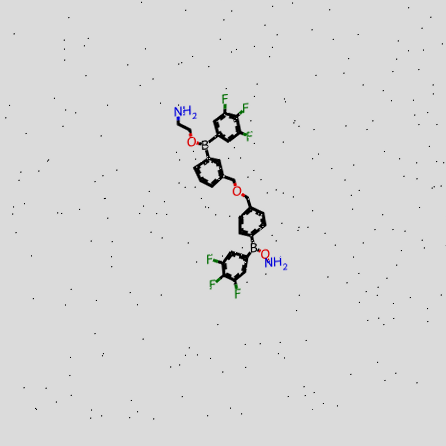 NCCOB(c1cccc(COCc2ccc(B(ON)c3cc(F)c(F)c(F)c3)cc2)c1)c1cc(F)c(F)c(F)c1